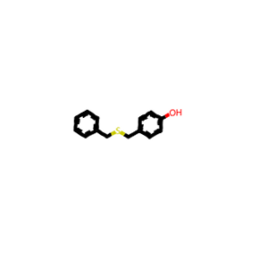 Oc1ccc(CSCc2ccccc2)cc1